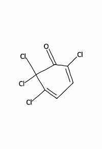 O=C1C(Cl)=CC=C(Cl)C1(Cl)Cl